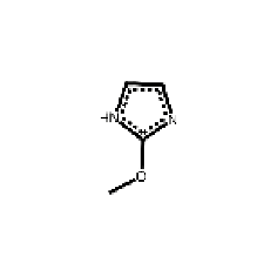 COc1ncc[nH]1